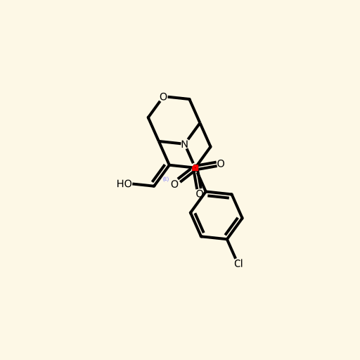 O=C1CC2COCC(/C1=C\O)N2S(=O)(=O)c1ccc(Cl)cc1